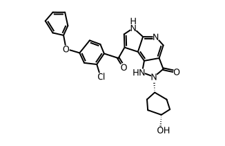 O=C(c1ccc(Oc2ccccc2)cc1Cl)c1c[nH]c2ncc3c(=O)n([C@H]4CC[C@@H](O)CC4)[nH]c3c12